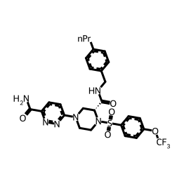 CCCc1ccc(CNC(=O)[C@H]2CN(c3ccc(C(N)=O)nn3)CCN2S(=O)(=O)c2ccc(OC(F)(F)F)cc2)cc1